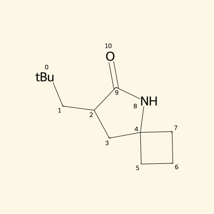 CC(C)(C)CC1CC2(CCC2)NC1=O